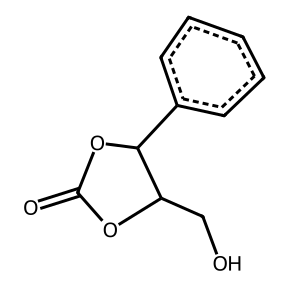 O=C1OC(CO)C(c2ccccc2)O1